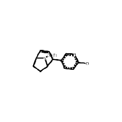 CCOC(=O)N1C2C=CC(c3ccc(Cl)nc3)C1CC2